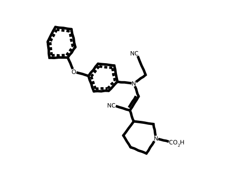 N#CCN(/C=C(\C#N)C1CCCN(C(=O)O)C1)c1ccc(Oc2ccccc2)cc1